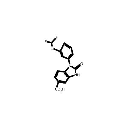 O=C(O)c1ccc2c(c1)[nH]c(=O)n2-c1cccc(OC(F)F)c1